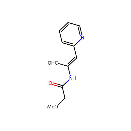 COCC(=O)N/C([C]=O)=C/c1ccccn1